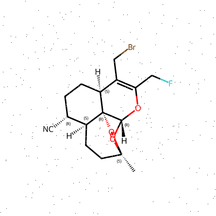 C[C@]12CC[C@H]3[C@H](C#N)CC[C@H]4C(CBr)=C(CF)O[C@H](O1)[C@]43OO2